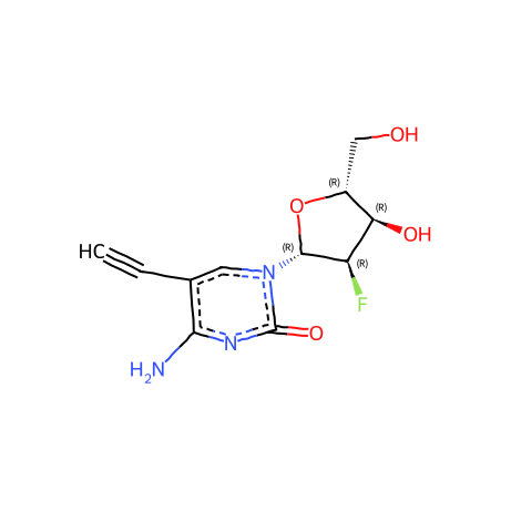 C#Cc1cn([C@@H]2O[C@H](CO)[C@@H](O)[C@H]2F)c(=O)nc1N